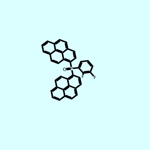 O=P(c1cccc(F)c1F)(c1ccc2ccc3cccc4ccc1c2c34)c1ccc2ccc3cccc4ccc1c2c34